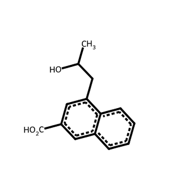 CC(O)Cc1cc(C(=O)O)cc2ccccc12